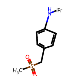 CC(C)Nc1ccc(CS(C)(=O)=O)cc1